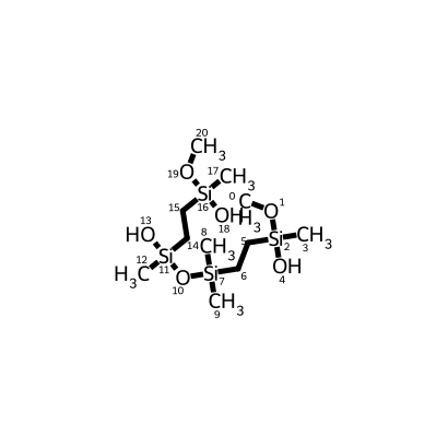 CO[Si](C)(O)CC[Si](C)(C)O[Si](C)(O)CC[Si](C)(O)OC